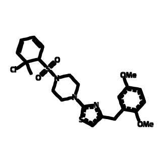 COc1ccc(OC)c(Cc2csc(N3CCN(S(=O)(=O)C4C=CC=CC4(C)Cl)CC3)n2)c1